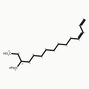 C=C/C=C\CCCCCCCCC(CCCCC)CC(=O)O